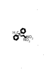 C[Si](CCC([N+](=O)[O-])[N+](=O)[O-])(c1ccccc1)c1ccccc1